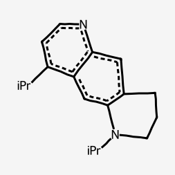 CC(C)c1ccnc2cc3c(cc12)N(C(C)C)CCC3